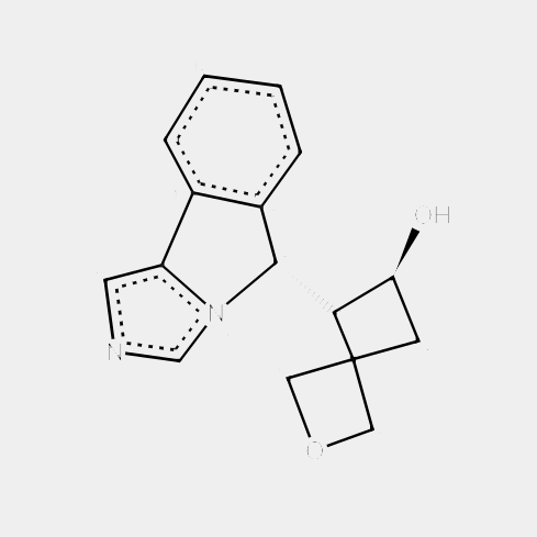 O[C@H]1CC2(COC2)C1[C@H]1c2ccccc2-c2cncn21